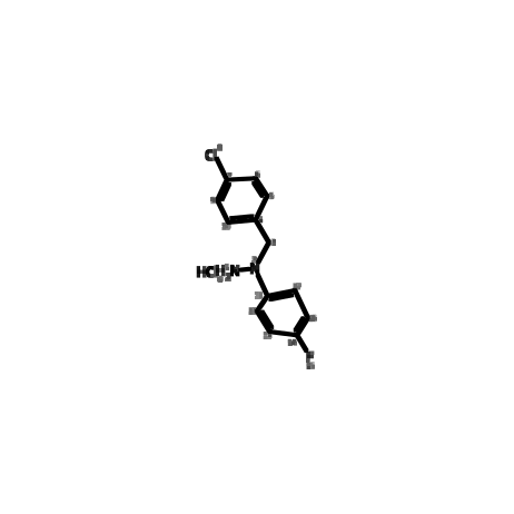 Cl.NN(Cc1ccc(Cl)cc1)c1ccc(F)cc1